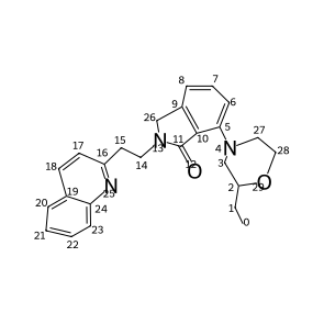 CCC1CN(c2cccc3c2C(=O)N(CCc2ccc4ccccc4n2)C3)CCO1